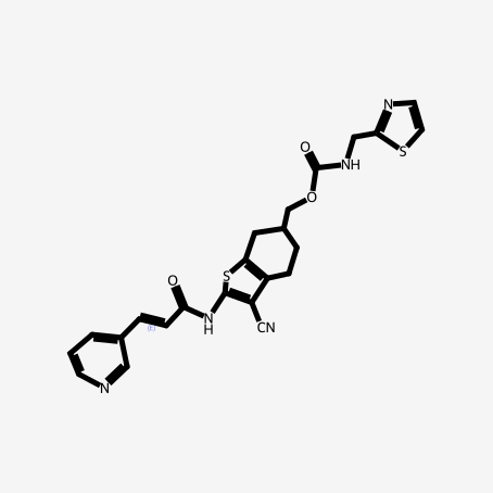 N#Cc1c(NC(=O)/C=C/c2cccnc2)sc2c1CCC(COC(=O)NCc1nccs1)C2